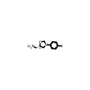 NC[C@H]1CN(c2ccc(I)cc2)CO1